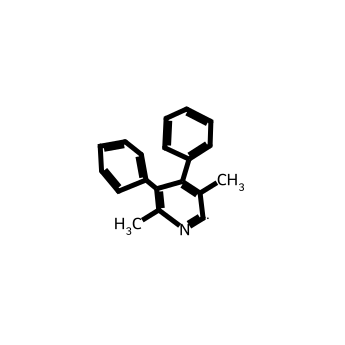 Cc1[c]nc(C)c(-c2ccccc2)c1-c1ccccc1